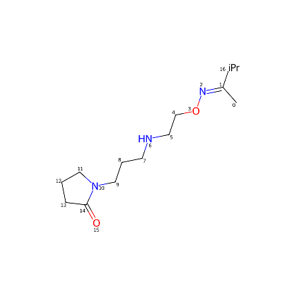 C/C(=N\OCCNCCCN1CCCC1=O)C(C)C